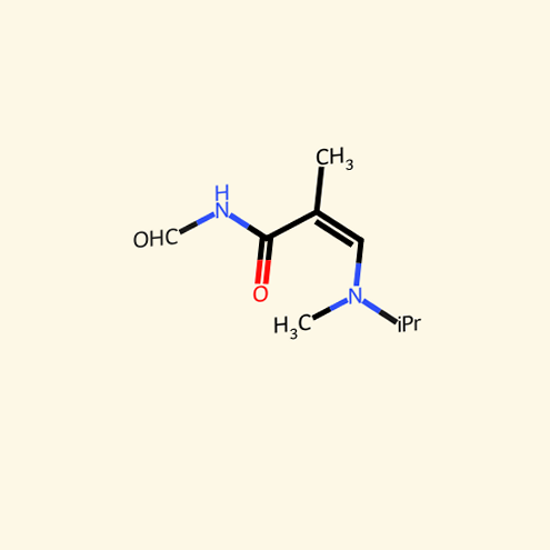 C/C(=C/N(C)C(C)C)C(=O)NC=O